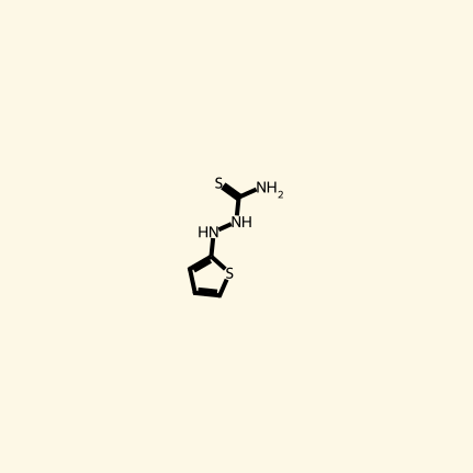 NC(=S)NNc1cccs1